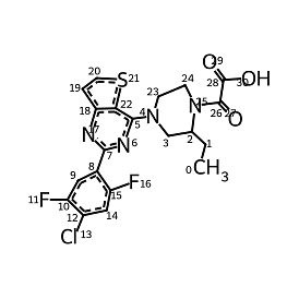 CCC1CN(c2nc(-c3cc(F)c(Cl)cc3F)nc3ccsc23)CCN1C(=O)C(=O)O